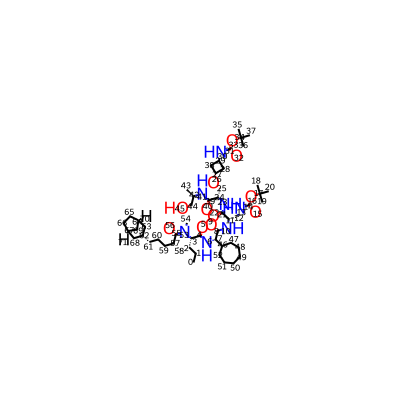 CCC[C@@H](C(=O)N[C@H](C(=O)N[C@@H](CNC(=O)OC(C)(C)C)C(=O)N[C@@H](CO[C@H]1C[C@H](NC(=O)OC(C)(C)C)C1)C(=O)N[C@H](C)CO)C1CCCCCC1)N(C)C(=O)[C@H](C)CCC[C@H]1C[C@H]2CC[C@@H](C1)C2